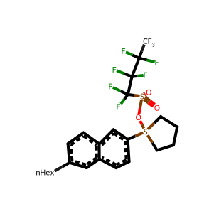 CCCCCCc1ccc2cc(S3(OS(=O)(=O)C(F)(F)C(F)(F)C(F)(F)C(F)(F)F)CCCC3)ccc2c1